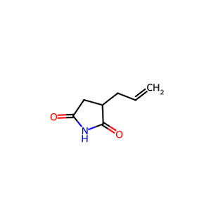 C=CCC1CC(=O)NC1=O